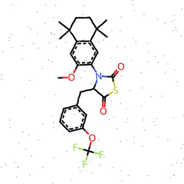 COc1cc2c(cc1N1C(=O)SC(=O)C1Cc1cccc(OC(F)(F)F)c1)C(C)(C)CCC2(C)C